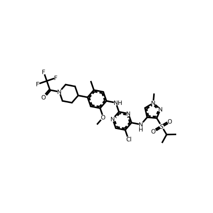 COc1cc(C2CCN(C(=O)C(F)(F)F)CC2)c(C)cc1Nc1ncc(Cl)c(Nc2cn(C)nc2S(=O)(=O)C(C)C)n1